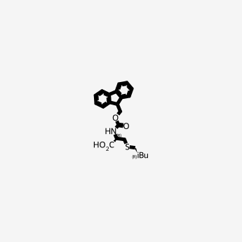 CC[C@@H](C)CSC[C@H](NC(=O)OCC1c2ccccc2-c2ccccc21)C(=O)O